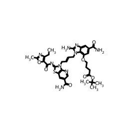 CCc1nc(C)oc1C(=O)/N=c1\sc2cc(C(N)=O)cnc2n1C/C=C/Cn1c(N)nc2cc(C(N)=O)cc(OCCCC(=O)OC(C)(C)C)c21